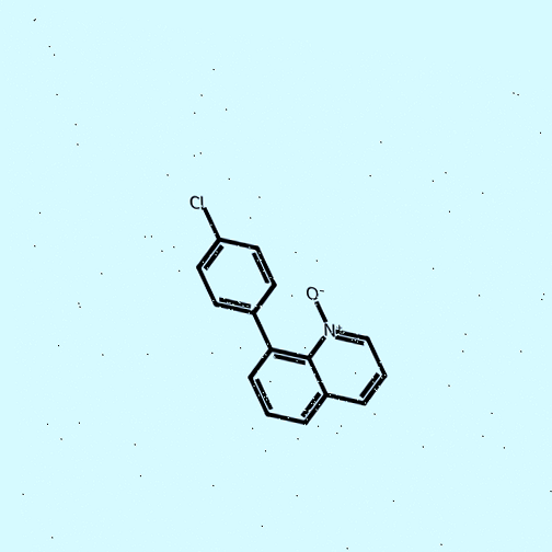 [O-][n+]1cccc2cccc(-c3ccc(Cl)cc3)c21